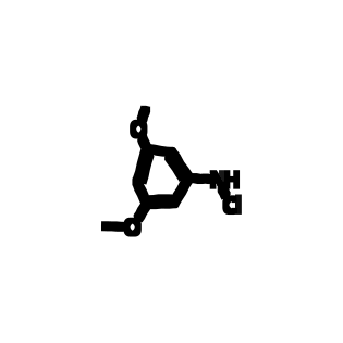 COc1cc(NCl)cc(OC)c1